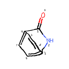 O=c1[nH]c2ccc1cc2